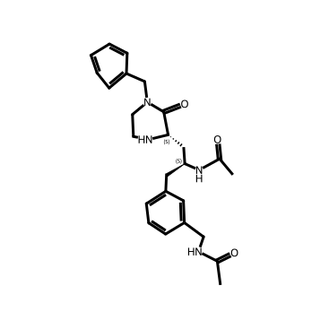 CC(=O)NCc1cccc(C[C@@H](C[C@@H]2NCCN(Cc3ccccc3)C2=O)NC(C)=O)c1